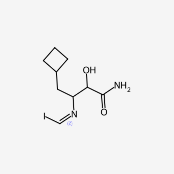 NC(=O)C(O)C(CC1CCC1)/N=C\I